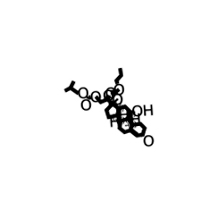 CCCOC(=O)O[C@]1(C(=O)COC(=O)OCC(C)C)CC[C@H]2[C@@H]3CCC4=CC(=O)CC[C@]4(C)[C@H]3[C@@H](O)C[C@@]21C